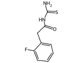 NC(=S)NC(=O)Cc1ccccc1F